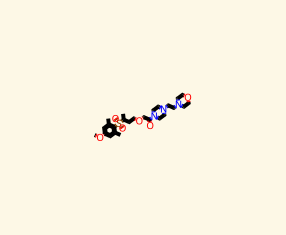 COc1cc(C)c(S(=O)(=O)C(C)CCOCC(=O)N2CCN(CCN3CCOCC3)CC2)c(C)c1